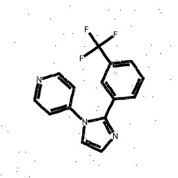 FC(F)(F)c1cccc(-c2nccn2-c2ccncc2)c1